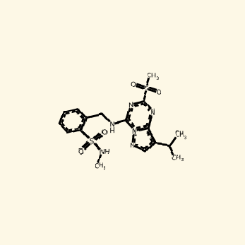 CNS(=O)(=O)c1ccccc1CNc1nc(S(C)(=O)=O)nc2c(C(C)C)cnn12